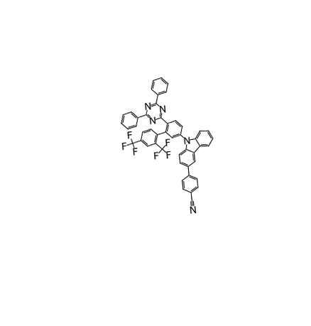 N#Cc1ccc(-c2ccc3c(c2)c2ccccc2n3-c2ccc(-c3nc(-c4ccccc4)nc(-c4ccccc4)n3)c(-c3ccc(C(F)(F)F)cc3C(F)(F)F)c2)cc1